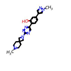 CN1CCC2(CC1)CN(c1ncc(-c3ccc(-c4cnn(C)c4)cc3O)nn1)C2